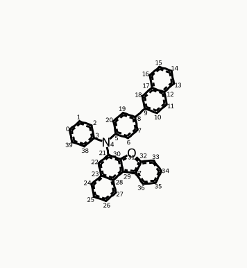 c1ccc(N(c2ccc(-c3ccc4ccccc4c3)cc2)c2cc3ccccc3c3c2oc2ccccc23)cc1